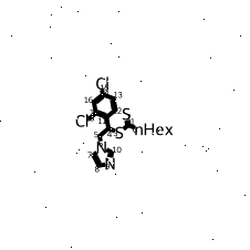 CCCCCCC(=S)SC(Cn1ccnc1)c1ccc(Cl)cc1Cl